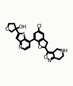 OC1(c2cc3nccc(-c4cc(Cl)cc5c4OC(c4onc6c4CNCC6)C5)c3s2)CCOC1